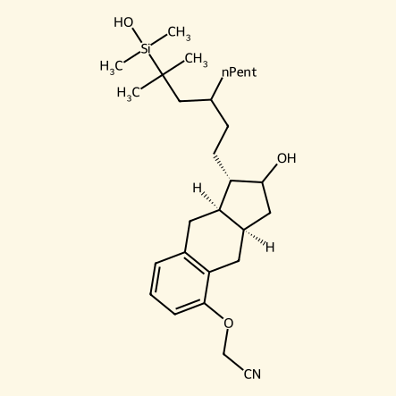 CCCCCC(CC[C@@H]1C(O)C[C@H]2Cc3c(cccc3OCC#N)C[C@H]21)CC(C)(C)[Si](C)(C)O